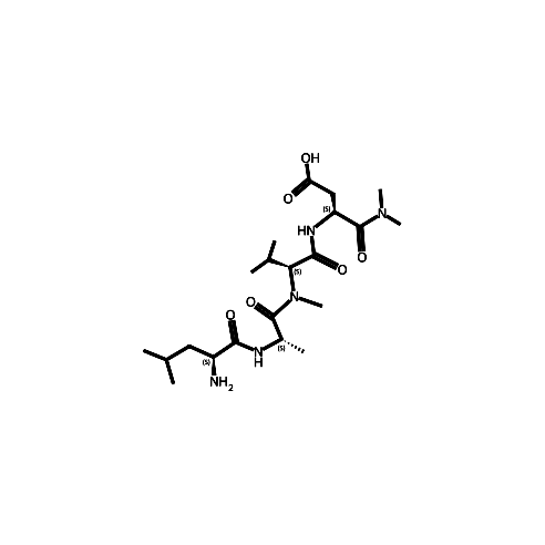 CC(C)C[C@H](N)C(=O)N[C@@H](C)C(=O)N(C)[C@H](C(=O)N[C@@H](CC(=O)O)C(=O)N(C)C)C(C)C